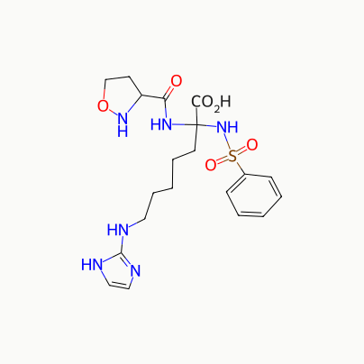 O=C(NC(CCCCCNc1ncc[nH]1)(NS(=O)(=O)c1ccccc1)C(=O)O)C1CCON1